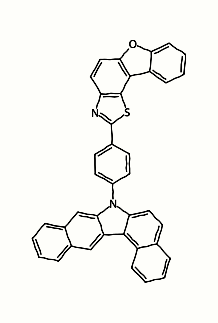 c1ccc2cc3c(cc2c1)c1c2ccccc2ccc1n3-c1ccc(-c2nc3ccc4oc5ccccc5c4c3s2)cc1